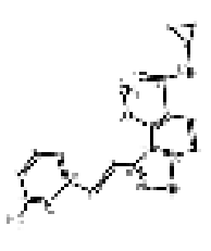 COc1c(C(=O)NC2CC2)ccc2[nH]nc(C=Cc3cccc(O)n3)c12